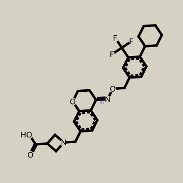 O=C(O)C1CN(Cc2ccc3c(c2)OCC/C3=N\OCc2ccc(C3CCCCC3)c(C(F)(F)F)c2)C1